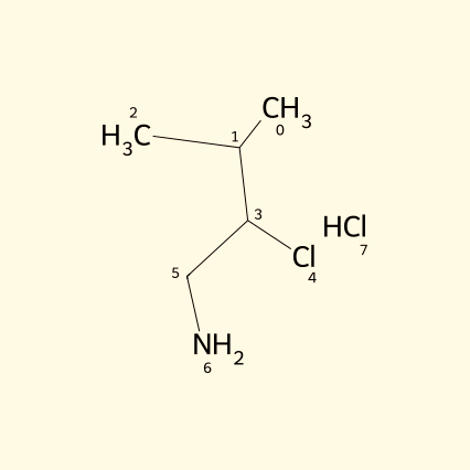 CC(C)C(Cl)CN.Cl